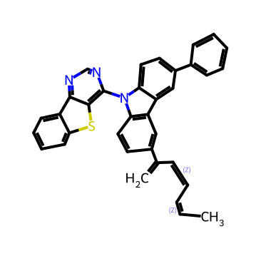 C=C(/C=C\C=C/C)c1ccc2c(c1)c1cc(-c3ccccc3)ccc1n2-c1ncnc2c1sc1ccccc12